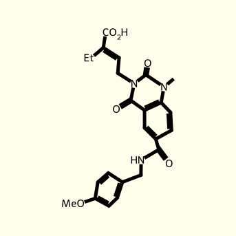 CC/C(=C\Cn1c(=O)c2cc(C(=O)NCc3ccc(OC)cc3)ccc2n(C)c1=O)C(=O)O